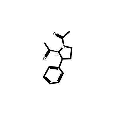 CC(=O)[C@@H]1C(c2ccccc2)CCN1C(C)=O